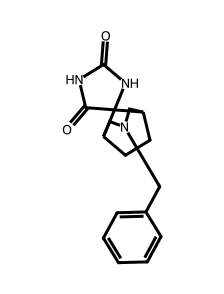 O=C1NC(=O)C2(N1)C1CCC2CN(Cc2ccccc2)C1